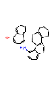 Nc1cccc2ccc3c(c12)CCC1=C3C=CCC1.Oc1cccc2ccccc12